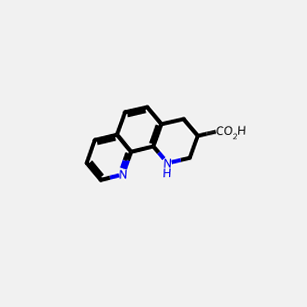 O=C(O)C1CNc2c(ccc3cccnc23)C1